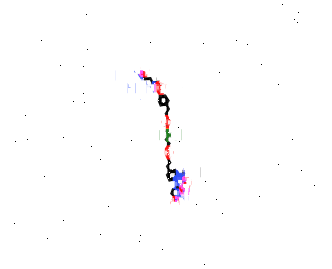 C[C@@H](OCc1ccc(CCCOCCCCCCOCCCc2ccc3c(c2)n(C)c(=O)n3C2CCC(=O)NC2=O)cc1)[C@@H](N)CCC(N)=O.Cl